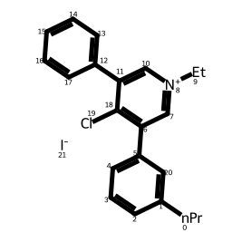 CCCc1cccc(-c2c[n+](CC)cc(-c3ccccc3)c2Cl)c1.[I-]